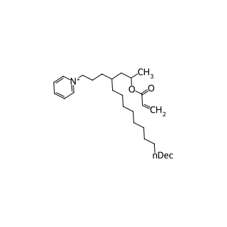 C=CC(=O)OC(C)CC(CCCCCCCCCCCCCCCCCC)CCC[n+]1ccccc1